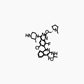 CC(=O)Nc1nc(-c2c(Cl)cc3c(N4CCNC[C@@H]4C)nc(OC[C@@H]4CCCN4C)nc3c2F)c2ccccc2c1F